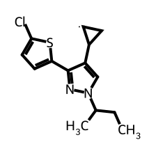 CCC(C)n1cc(C2[CH]C2)c(-c2ccc(Cl)s2)n1